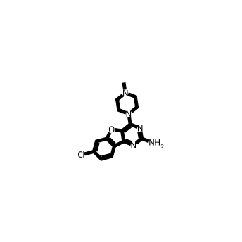 CN1CCN(c2nc(N)nc3c2oc2cc(Cl)ccc23)CC1